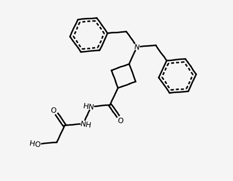 O=C(CO)NNC(=O)C1CC(N(Cc2ccccc2)Cc2ccccc2)C1